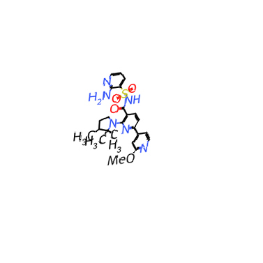 COc1cc(-c2ccc(C(=O)NS(=O)(=O)c3cccnc3N)c(N3CCC(C)C3(C)C)n2)ccn1